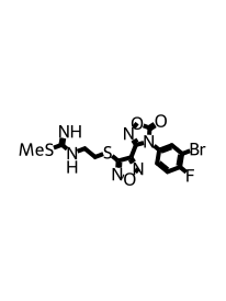 CSC(=N)NCCSc1nonc1-c1noc(=O)n1-c1ccc(F)c(Br)c1